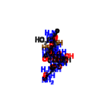 C=C(C[C@H](NC(=O)[C@H](CS)NC(=O)[C@H](CCC(=O)O)NC(=O)[C@@H](N)Cc1ccccc1)C(=O)N[C@@H](CS)C(=O)N[C@@H](Cc1ccc(O)cc1)C(=O)N[C@@H](CCC(=O)O)C(=O)NC(C(=O)N[C@@H](CCC(=O)O)C(=O)NCC(=O)N[C@H](C(=O)NCC(=O)NCC(=O)NCC(=O)N[C@@H](CCCCNC(=O)CON)C(N)=O)C(C)O)C(C)O)c1ccccc1N